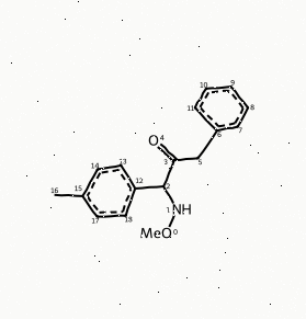 CONC(C(=O)Cc1ccccc1)c1ccc(C)cc1